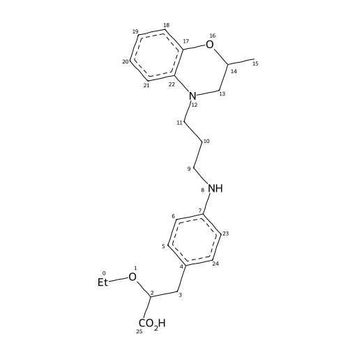 CCOC(Cc1ccc(NCCCN2CC(C)Oc3ccccc32)cc1)C(=O)O